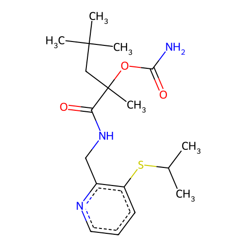 CC(C)Sc1cccnc1CNC(=O)C(C)(CC(C)(C)C)OC(N)=O